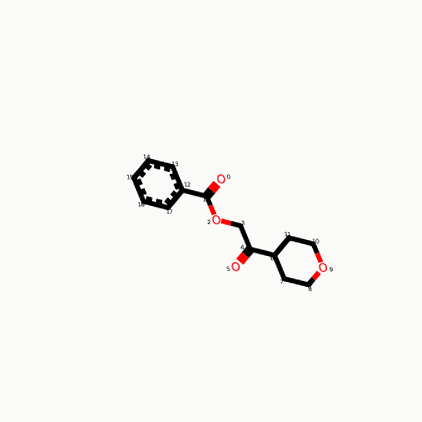 O=C(OCC(=O)C1CCOCC1)c1ccccc1